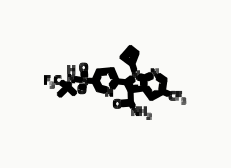 CC(C)(NS(=O)(=O)c1ccc(-c2c(C(N)=O)c3cc(C(F)(F)F)cnc3n2C2=CC=C2)nc1)C(F)(F)F